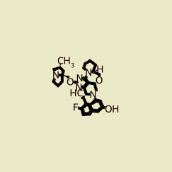 C#Cc1c(F)ccc2cc(O)cc(N3Cc4nc(OC[C@@]56CCCN5C[C@H](C)C6)nc5c4C(C3)OC[C@@H]3CCCCN53)c12